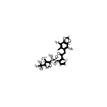 [2H]c1c(C)c(CC(=O)c2sccc2S(=O)(=O)N([2H])c2onc(C([2H])([2H])[2H])c2Cl)c([2H])c2c1OCO2